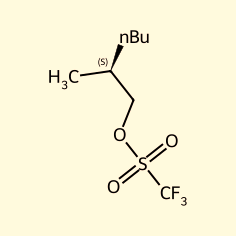 CCCC[C@H](C)COS(=O)(=O)C(F)(F)F